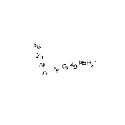 [Ag].[Au].[Cr].[Cu].[Fe].[Ni].[PbH2].[Zn]